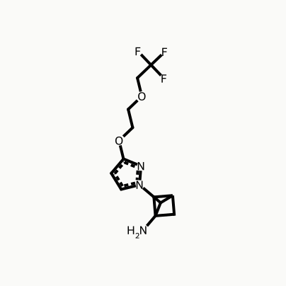 NC12CC(C1)C2n1ccc(OCCOCC(F)(F)F)n1